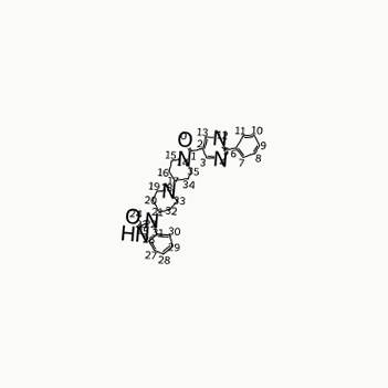 O=C(c1cnc(-c2ccccc2)nc1)N1CCC(N2CCC(n3c(=O)[nH]c4ccccc43)CC2)CC1